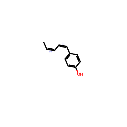 C/C=C\C=C/c1ccc(O)cc1